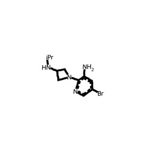 CC(C)NC1CN(c2ncc(Br)cc2N)C1